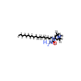 CCCCCCCCCCCCCCCCCCN(C(N)=O)C1CC(C)(C)N(C)C(C)(C)C1